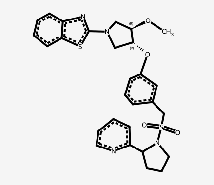 CO[C@@H]1CN(c2nc3ccccc3s2)C[C@H]1Oc1cccc(CS(=O)(=O)N2CCCC2c2ccccn2)c1